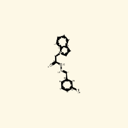 O=C(Cn1ccc2ccccc21)ON=Cc1cccc(Cl)c1